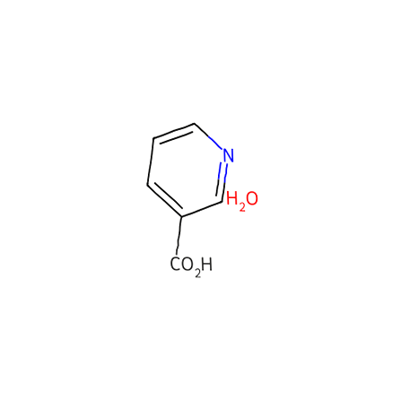 O.O=C(O)c1cccnc1